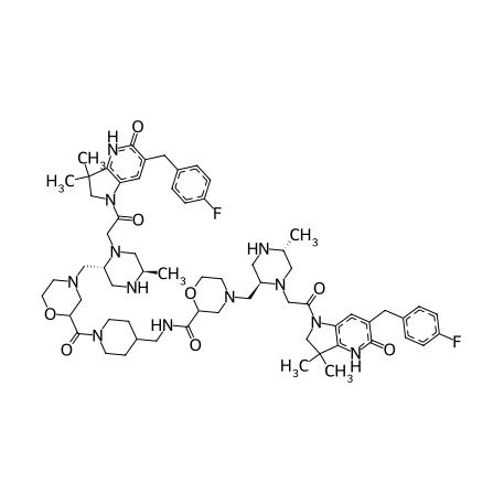 C[C@@H]1CN(CC(=O)N2CC(C)(C)c3[nH]c(=O)c(Cc4ccc(F)cc4)cc32)[C@@H](CN2CCOC(C(=O)NCC3CCN(C(=O)C4CN(C[C@H]5CN[C@H](C)CN5CC(=O)N5CC(C)(C)c6[nH]c(=O)c(Cc7ccc(F)cc7)cc65)CCO4)CC3)C2)CN1